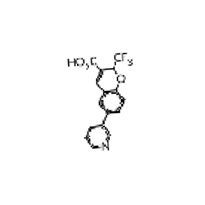 O=C(O)C1=Cc2cc(-c3cccnc3)ccc2OC1C(F)(F)F